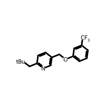 CC(C)(C)Cc1ccc(COc2cccc(C(F)(F)F)c2)cn1